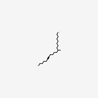 [CH2]CCCCC#CCCCCC(C)CCCCCCC[CH2]